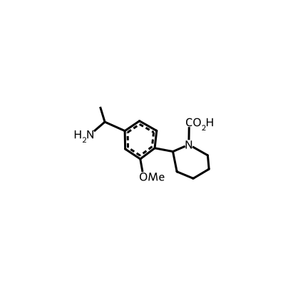 COc1cc(C(C)N)ccc1C1CCCCN1C(=O)O